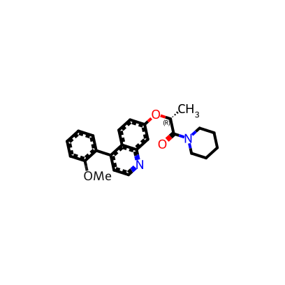 COc1ccccc1-c1ccnc2cc(O[C@H](C)C(=O)N3CCCCC3)ccc12